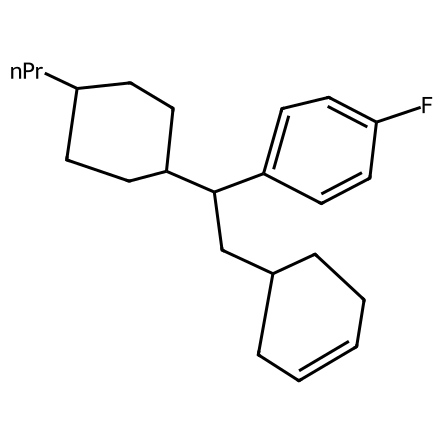 CCCC1CCC(C(CC2CC=CCC2)c2ccc(F)cc2)CC1